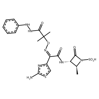 C[C@H]1[C@H](NC(=O)/C(=N\OC(C)(C)C(=O)NNc2ccccc2)c2csc(N)n2)C(=O)N1S(=O)(=O)O